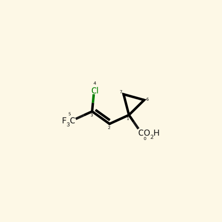 O=C(O)C1(C=C(Cl)C(F)(F)F)CC1